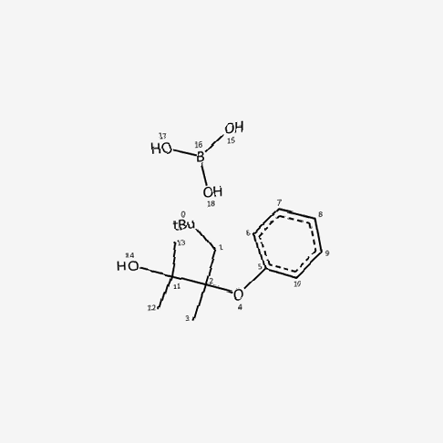 CC(C)(C)CC(C)(Oc1ccccc1)C(C)(C)O.OB(O)O